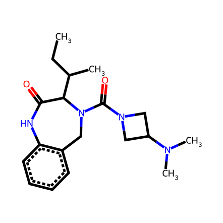 CCC(C)C1C(=O)Nc2ccccc2CN1C(=O)N1CC(N(C)C)C1